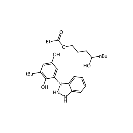 CC(C)(C)c1cc(O)cc(N2NNc3ccccc32)c1O.CCCCC(O)CCCOC(=O)CC